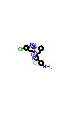 Nc1ccc(-c2cc(C(Cc3ccccc3)NC(=O)C=Cc3cc(Cl)ccc3-n3cnnn3)nnc2Cl)cc1